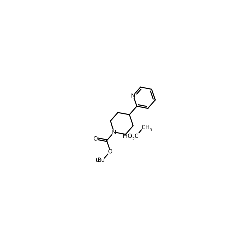 CC(=O)O.CC(C)(C)OC(=O)N1CCC(c2ccccn2)CC1